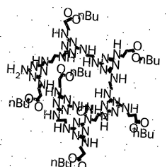 CCCCOC(=O)CCNc1nc(N)nc(NCCNc2nc(NCCNc3nc(NCCNc4nc(NCCNc5nc(NCCNc6nc(NCCN)nc(NCCC(=O)OCCCC)n6)nc(NCCC(=O)OCCCC)n5)nc(NCCC(=O)OCCCC)n4)nc(NCCC(=O)OCCCC)n3)nc(NCCC(=O)OCCCC)n2)n1